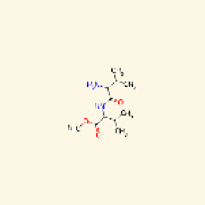 COC(=O)C(NC(=O)C(N)C(C)C)C(C)C